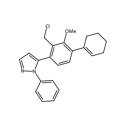 COc1c(C2=CCCCC2)ccc(-c2ccnn2-c2ccccc2)c1CCl